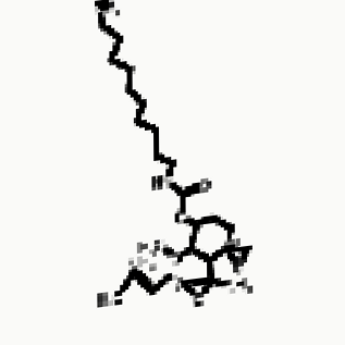 COC1C(OC(=O)NCCCCCCCCCCN)CC[C@]2(CO2)C1C1(C)O[C@@H]1CC=C(C)C